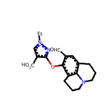 CCn1cc(C(=O)O)c(Oc2c(C=O)cc3c4c2CCCN4CCC3)n1